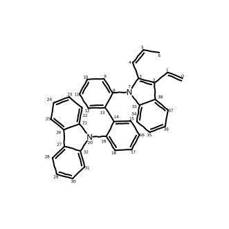 C=Cc1c(/C=C\C)n(-c2ccccc2-c2ccccc2-n2c3ccccc3c3ccccc32)c2ccccc12